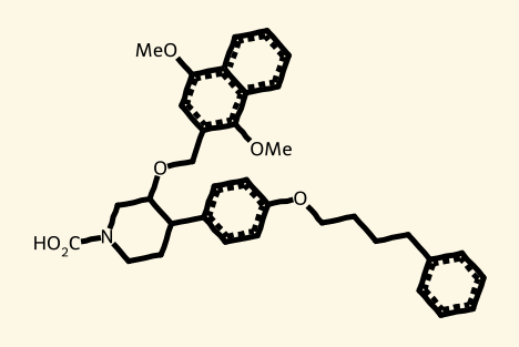 COc1cc(COC2CN(C(=O)O)CCC2c2ccc(OCCCCc3ccccc3)cc2)c(OC)c2ccccc12